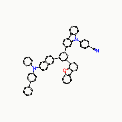 N#Cc1ccc(-n2c3ccccc3c3ccc(-c4cc(-c5ccc6cc(N(c7ccccc7)c7ccc(-c8ccccc8)cc7)ccc6c5)cc(-c5cccc6c5oc5ccccc56)c4)cc32)cc1